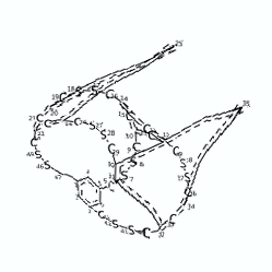 c1c2cc3cc1CSSCc1cc4cc(c1)CSSCc1cc(cc(c1)CSSCc1cc(cc(c1)CSSC4)CSSC2)CSSC3